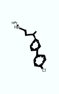 CCCNCCC(C)c1ccc(-c2ccc(Cl)cc2)cc1